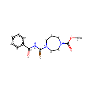 CC(C)(C)OC(=O)N1CCCN(C(=S)NC(=O)c2ccccc2)CC1